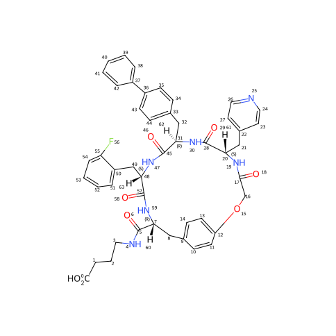 O=C(O)CCCNC(=O)[C@H]1Cc2ccc(cc2)OCC(=O)N[C@@H](Cc2ccncc2)C(=O)N[C@H](Cc2ccc(-c3ccccc3)cc2)C(=O)N[C@@H](Cc2ccccc2F)C(=O)N1